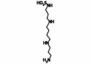 NCCCNCCCCNCCCNS(=O)(=O)O